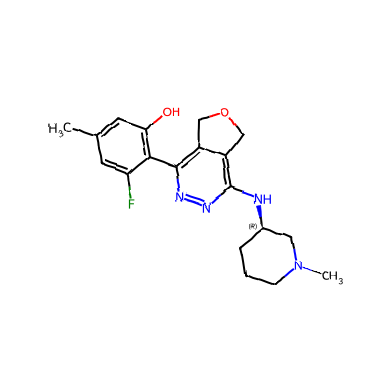 Cc1cc(O)c(-c2nnc(N[C@@H]3CCCN(C)C3)c3c2COC3)c(F)c1